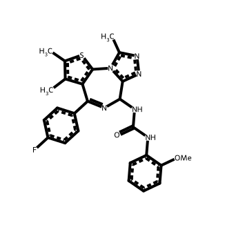 COc1ccccc1NC(=O)NC1N=C(c2ccc(F)cc2)c2c(sc(C)c2C)-n2c(C)nnc21